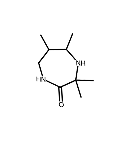 CC1CNC(=O)C(C)(C)NC1C